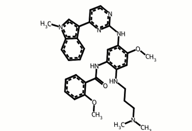 COc1cc(NCCCN(C)C)c(NC(=O)c2ccccc2OC)cc1Nc1nccc(-c2cn(C)c3ccccc23)n1